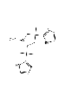 CC(C)(CCC(C)(COC=O)c1ncc[nH]1)c1ncc[nH]1